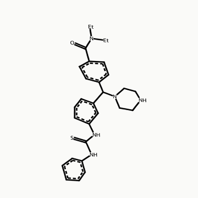 CCN(CC)C(=O)c1ccc(C(c2cccc(NC(=S)Nc3ccccc3)c2)N2CCNCC2)cc1